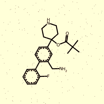 CC(C)(C)C(=O)OC1(c2ccc(-c3ccccc3F)c(CN)c2)CCNCC1